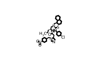 CCC[C@@H](CN(Cc1cccc2ccccc12)C(=S)Nc1ccc(Cl)cc1)NC(=O)Cc1cncn1Cc1ccc([N+](=O)[O-])cc1